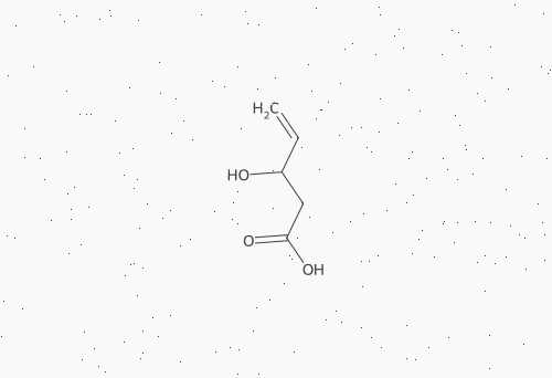 C=CC(O)CC(=O)O